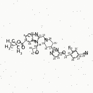 CC(C)(C)OC(=O)c1ccc2nc(CN3CCC(c4nccc(OCc5ccc(C#N)cc5F)n4)CC3)n(C[C@@H]3CCO3)c2c1